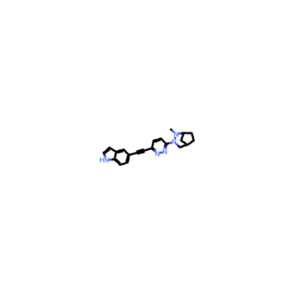 CN1C2CCC(C2)CN1c1ccc(C#Cc2ccc3[nH]ccc3c2)nn1